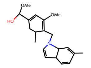 COC1=C(CN2C=CC3C=CC(C)=CC32)C(C)CC(C(O)OC)=C1